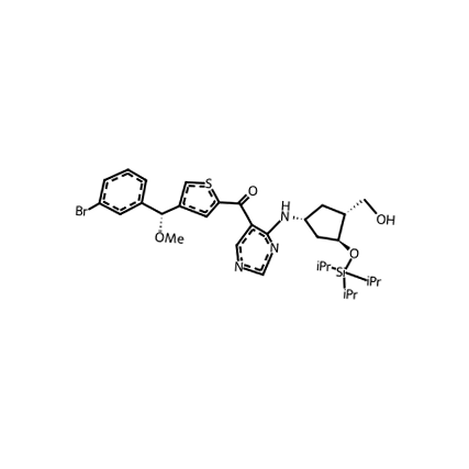 CO[C@H](c1cccc(Br)c1)c1csc(C(=O)c2cncnc2N[C@@H]2C[C@H](CO)[C@@H](O[Si](C(C)C)(C(C)C)C(C)C)C2)c1